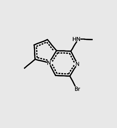 CNc1nc(Br)cn2c(C)ccc12